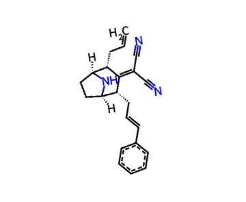 C=CC[C@@H]1C(=C(C#N)C#N)[C@H](C/C=C/c2ccccc2)[C@H]2CC[C@@H]1N2